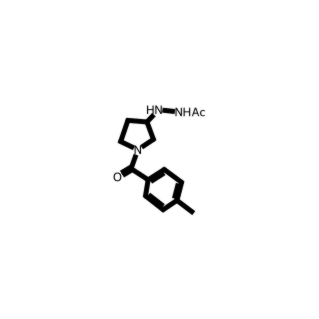 CC(=O)NNC1CCN(C(=O)c2ccc(C)cc2)C1